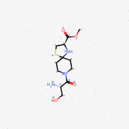 COC(=O)[C@@H]1CSC2(CCN(C(=O)[C@@H](N)CO)CC2)N1